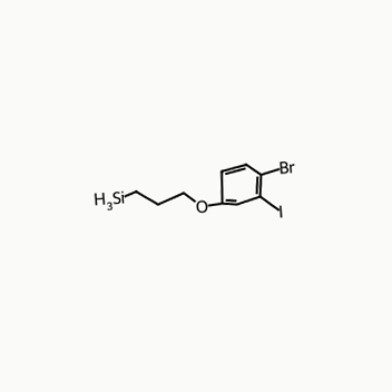 [SiH3]CCCOc1ccc(Br)c(I)c1